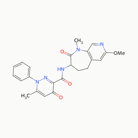 COc1cc2c(cn1)N(C)C(=O)C(NC(=O)c1nn(-c3ccccc3)c(C)cc1=O)CC2